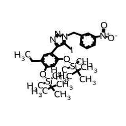 CCc1cc(-c2nnn(Cc3cccc([N+](=O)[O-])c3)c2I)c(O[Si](C)(C)C(C)(C)C)cc1O[Si](C)(C)C(C)(C)C